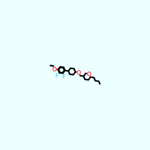 CCCCC1CCC(COC2CCC(c3ccc(OCC)c(F)c3F)CC2)CO1